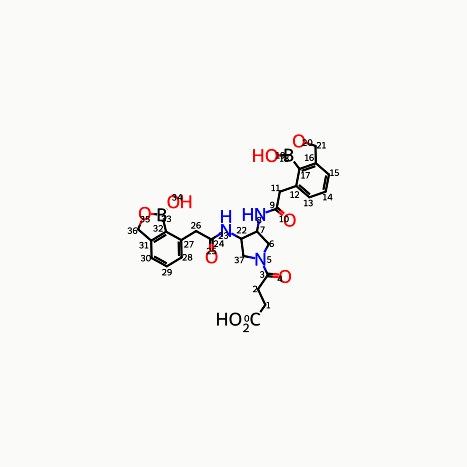 O=C(O)CCC(=O)N1CC(NC(=O)Cc2cccc3c2B(O)OC3)C(NC(=O)Cc2cccc3c2B(O)OC3)C1